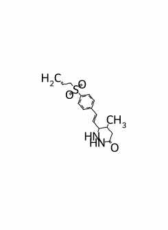 C=CCS(=O)(=O)c1ccc(/C=C/C2NNC(=O)CC2C)cc1